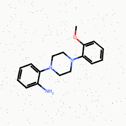 COc1ccccc1N1CCN(c2ccccc2N)CC1